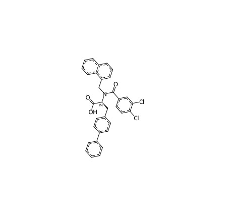 O=C(O)[C@H](Cc1ccc(-c2ccccc2)cc1)N(Cc1cccc2ccccc12)C(=O)c1ccc(Cl)c(Cl)c1